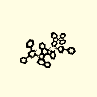 c1ccc(-c2ccc(N(c3ccc4c(c3)C(c3ccccc3)(c3ccccc3)c3ccccc3-4)c3cccc4c3sc3c5ccccc5c5c(c43)c3c4ccccc4ccc3n5-c3nc(-c4ccccc4)cc(-c4ccccc4)n3)cc2)cc1